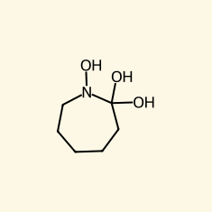 ON1CCCCCC1(O)O